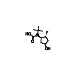 CC(C)(C)N(C(=O)O)[C@@H]1C[C@H](O)C[C@H]1F